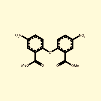 COC(=O)c1cc([N+](=O)[O-])ccc1Oc1ccc([N+](=O)[O-])cc1C(=O)OC